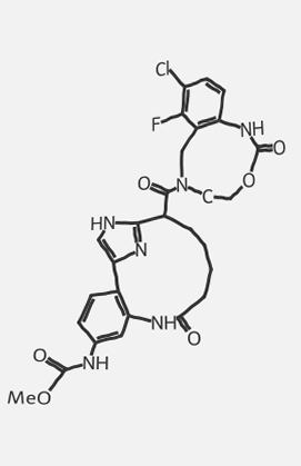 COC(=O)Nc1ccc2c(c1)NC(=O)CCCCC(C(=O)N1CCOC(=O)Nc3ccc(Cl)c(F)c3C1)c1nc-2c[nH]1